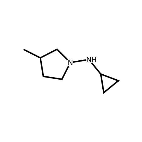 CC1CCN(NC2CC2)C1